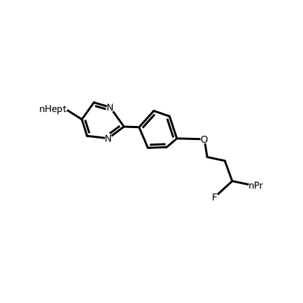 CCCCCCCc1cnc(-c2ccc(OCCC(F)CCC)cc2)nc1